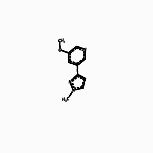 COc1cncc(-c2ccn(C)n2)c1